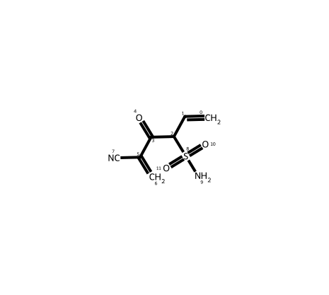 C=CC(C(=O)C(=C)C#N)S(N)(=O)=O